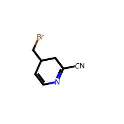 N#CC1=NC=CC(CBr)C1